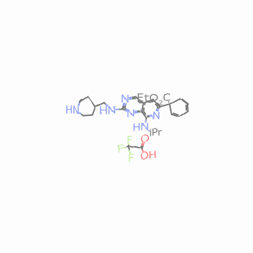 CCOC(=O)[C@@]1(c2cc3cnc(NCC4CCNCC4)nc3c(NC(C)C)n2)C=CC=CC1.O=C(O)C(F)(F)F